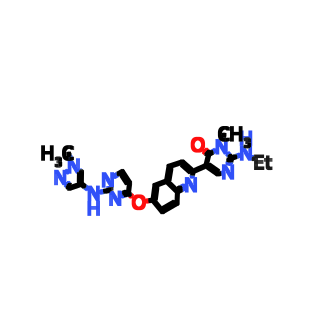 CCNc1ncc(-c2ccc3cc(Oc4ccnc(Nc5cnn(C)c5)n4)ccc3n2)c(=O)n1C